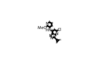 COc1ncccc1Nc1cc(Cl)nn2c(C3CC3)nnc12